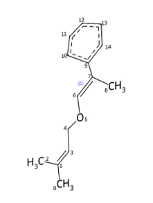 CC(C)=CCO/C=C(\C)c1ccccc1